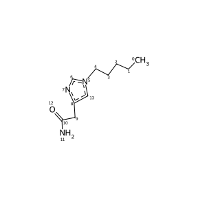 CCCCCn1cnc(CC(N)=O)c1